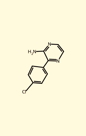 Nc1nccnc1-c1ccc(Cl)cc1